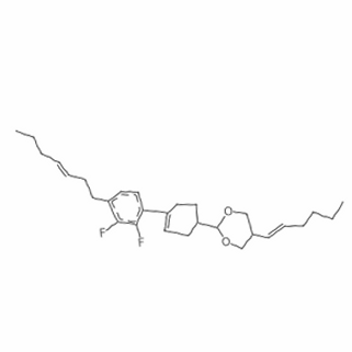 CCC/C=C/CCc1ccc(C2=CCC(C3OCC(/C=C/CCCC)CO3)CC2)c(F)c1F